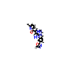 CC1=C2C(Nc3cc(-c4nnc(C)o4)ccc3C)=NC=NN2CC1C(=O)c1cccc(C)n1